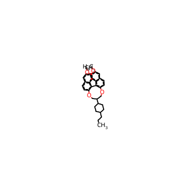 CCCC1CCC(C2COc3ccc4ccc(OC)cc4c3-c3c(ccc4ccc(OC)cc34)OC2)CC1